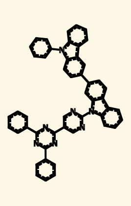 c1ccc(-c2nc(-c3ccccc3)nc(-c3cnc(-n4c5ccccc5c5ccc(-c6ccc7c(c6)c6ccccc6n7-c6ccccc6)cc54)nc3)n2)cc1